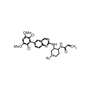 C=CC(=O)NC1CCN(C(C)=O)CC1Nc1ncc2cc(-c3c(Cl)c(OC)cc(OC)c3Cl)ccc2n1